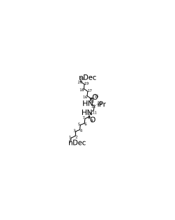 CCCCCCCCCCCCCCCCCC(=O)NC[C@H](NC(=O)CCCCCCCCCCCCCCC)C(C)C